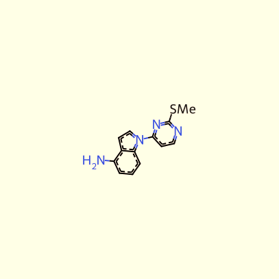 CSc1nccc(-n2ccc3c(N)cccc32)n1